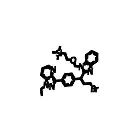 CCn1nc(-c2ccc(C(CCBr)c3nc4ccccc4n3COCC[Si](C)(C)C)cc2)c2ncccc21